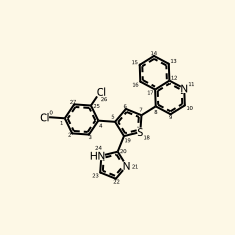 Clc1ccc(-c2cc(-c3ccnc4ccccc34)sc2-c2ncc[nH]2)c(Cl)c1